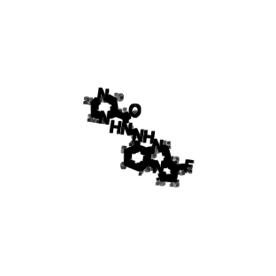 O=C(NNc1cccc2c1ncc1c(F)ccn12)c1cnccn1